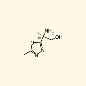 Cc1nnc([C@@](C)(N)CO)o1